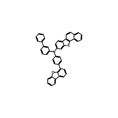 c1ccc(-c2cccc(N(c3ccc(-c4cccc5c4oc4ccccc45)cc3)c3ccc4c(c3)sc3c5ccccc5ccc43)c2)cc1